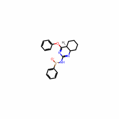 [O-][S+](NC1=NC2CCCC[C@@H]2C(Oc2ccccc2)=N1)c1ccccc1